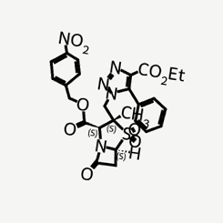 CCOC(=O)c1nnn(C[C@@]2(C)[C@H](C(=O)OCc3ccc([N+](=O)[O-])cc3)N3C(=O)C[C@@H]3S2(=O)=O)c1-c1ccccc1